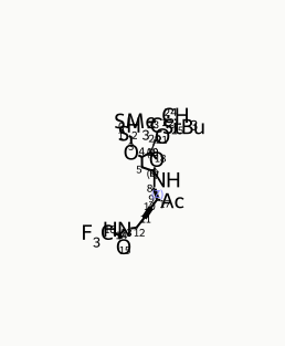 CSSCOC1C[C@H](N/C=C(/C#CCNC(=O)C(F)(F)F)C(C)=O)O[C@@H]1CO[Si](C)(C)C(C)(C)C